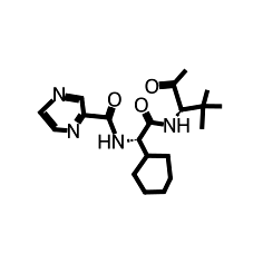 CC(=O)[C@@H](NC(=O)[C@@H](NC(=O)c1cnccn1)C1CCCCC1)C(C)(C)C